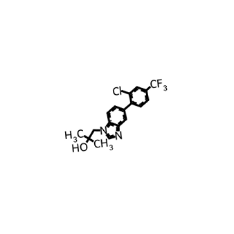 CC(C)(O)Cn1cnc2cc(-c3ccc(C(F)(F)F)cc3Cl)ccc21